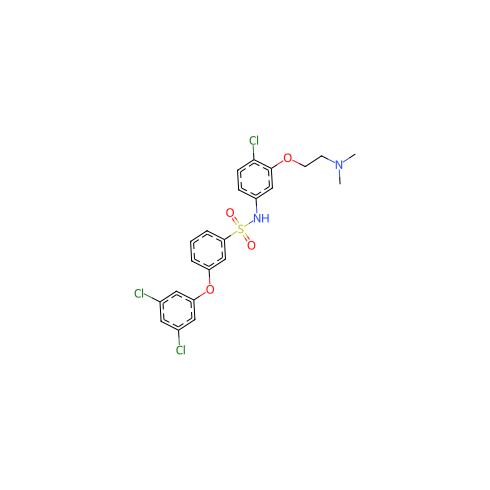 CN(C)CCOc1cc(NS(=O)(=O)c2cccc(Oc3cc(Cl)cc(Cl)c3)c2)ccc1Cl